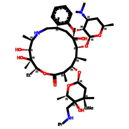 CC[C@H]1OC(=O)[C@H](C)[C@@H](O[C@H]2C[C@@](C)(OC)[C@](O)(CNC(C)C)[C@H](C)O2)[C@H](C)[C@@H](O[C@@H]2O[C@H](C)C[C@H](N(C)C)[C@H]2Oc2ccccc2)[C@](C)(O)C[C@@H](C)CN[C@H](C)[C@@H](O)[C@]1(C)O